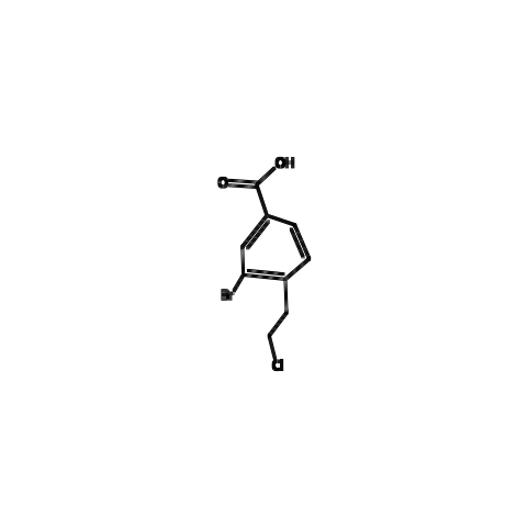 O=C(O)c1ccc(CCCl)c(Br)c1